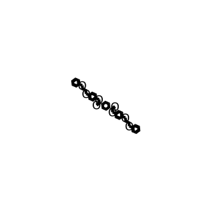 O=C(Oc1ccc(OCCOc2ccccc2)cc1)[C@H]1CC[C@H](C(=O)Oc2ccc(OCCOc3ccccc3)cc2)CC1